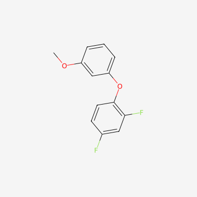 COc1cccc(Oc2ccc(F)cc2F)c1